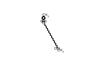 COC(=O)CCCCCCCCCCCCCCCCCCCOS(=O)(=O)c1ccc(C)cc1